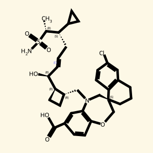 C[C@H]([C@@H](C/C=C/[C@H](O)[C@@H]1CC[C@H]1CN1C[C@@]2(CCCc3cc(Cl)ccc32)COc2ccc(C(=O)O)cc21)C1CC1)S(N)(=O)=O